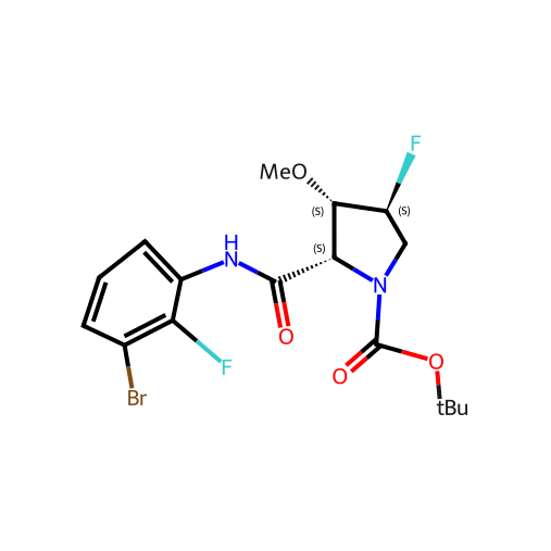 CO[C@H]1[C@@H](C(=O)Nc2cccc(Br)c2F)N(C(=O)OC(C)(C)C)C[C@@H]1F